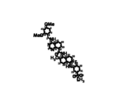 COc1ccc(CNc2ncnc3c(C(=O)Nc4c(C)ccc5c(Nc6cc(S(C)(=O)=O)ccc6F)nccc45)cccc23)c(OC)c1